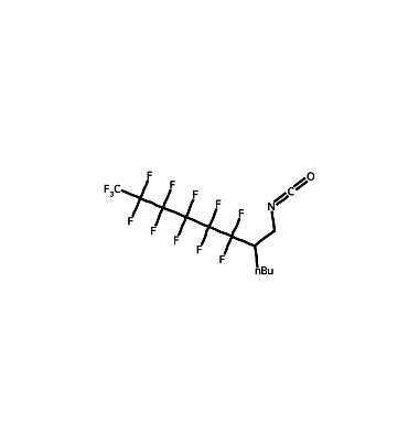 CCCCC(CN=C=O)C(F)(F)C(F)(F)C(F)(F)C(F)(F)C(F)(F)C(F)(F)F